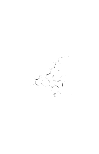 CCOC(=O)N1c2ccc(OC)nc2[C@@H](N(Cc2cc(C(F)(F)F)cc(C(F)(F)F)c2)c2ncc(NC(=O)NCCOC)cn2)C[C@H]1CC